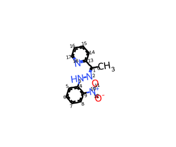 CC(=NNc1ccccc1[N+](=O)[O-])c1ccccn1